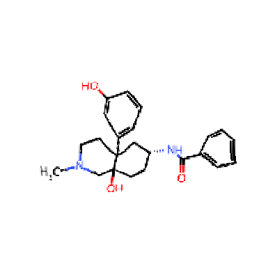 CN1CCC2(c3cccc(O)c3)C[C@H](NC(=O)c3ccccc3)CCC2(O)C1